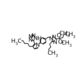 CCCCCc1ccn(-c2ccc(Cn3nc(C(CCC)(OC)OC)nc3CCCC)cc2)c1-c1nnn[nH]1